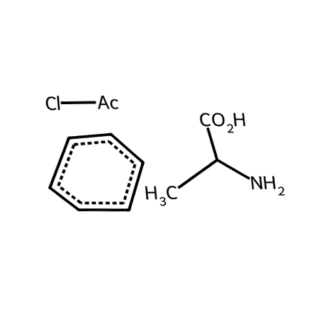 CC(=O)Cl.CC(N)C(=O)O.c1ccccc1